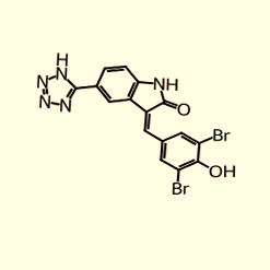 O=C1Nc2ccc(-c3nnn[nH]3)cc2C1=Cc1cc(Br)c(O)c(Br)c1